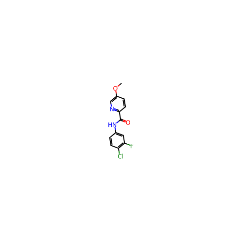 COc1ccc(C(=O)Nc2ccc(Cl)c(F)c2)nc1